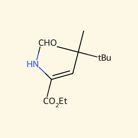 CCOC(=O)C(=CC(C)(C)C(C)(C)C)NC=O